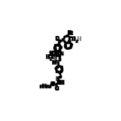 CCCCCCOC(=O)NN=Cc1ccc(NCc2nc3cc(C(=O)N(CC(CC)C(=O)O)c4ccccn4)ccc3n2C)cc1.CS(=O)(=O)O